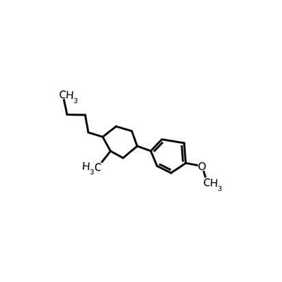 CCCCC1CCC(c2ccc(OC)cc2)CC1C